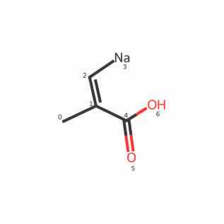 CC(=[CH][Na])C(=O)O